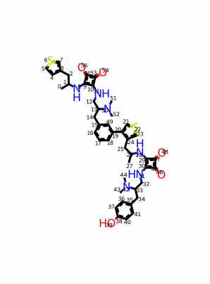 CC(Cc1ccsc1)Nc1c(NCC(Cc2cccc(-c3cscc3CC(C)Nc3c(NCC(Cc4ccc(O)cc4)N(C)C)c(=O)c3=O)c2)N(C)C)c(=O)c1=O